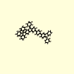 c1ccc(-n2c3ccccc3c3cc(-c4ccc(-c5ccc6c(c5)c5cc7c(cc5n6-c5ccccc5)C(c5ccccc5)(c5ccccc5)c5ccccc5-7)cc4)ccc32)cc1